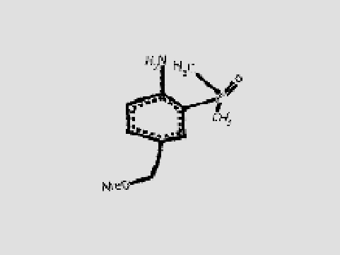 COCc1ccc(N)c(P(C)(C)=O)c1